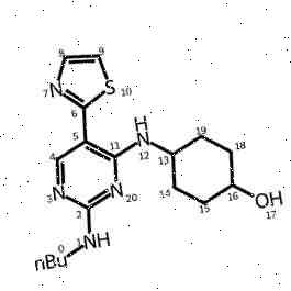 CCCCNc1ncc(-c2nccs2)c(NC2CCC(O)CC2)n1